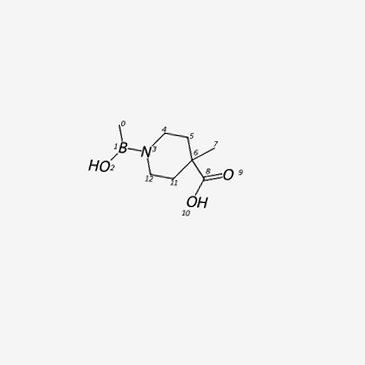 CB(O)N1CCC(C)(C(=O)O)CC1